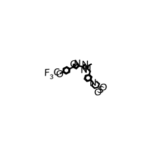 Cc1nc(-c2cc(-c3ccc(OC(F)(F)F)cc3)on2)nn1Cc1cccc(N2CCC(S(C)(=O)=O)CC2)c1